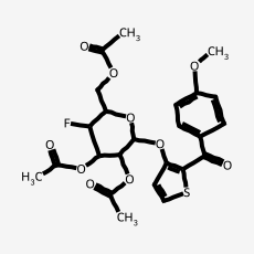 COc1ccc(C(=O)c2sccc2OC2OC(COC(C)=O)C(F)C(OC(C)=O)C2OC(C)=O)cc1